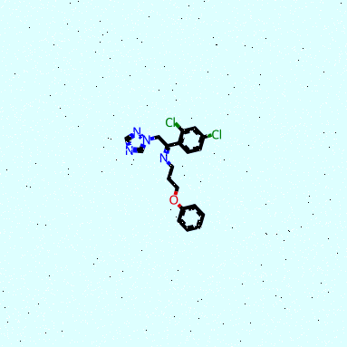 Clc1ccc(/C(Cn2cncn2)=N\CCCOc2ccccc2)c(Cl)c1